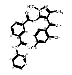 Cc1nn(C)c(OC(=O)c2cccc(C(=O)Oc3cccnn3)c2)c1C(=O)c1ccc(Cl)cc1Cl